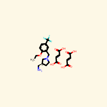 CCOc1ccc(C(F)(F)F)cc1CN1CC[C@@H](CN)C1.O=C(O)/C=C/C(=O)O.O=C(O)/C=C/C(=O)O